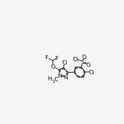 Cn1nc(-c2ccc(Cl)c(S(=O)(=O)Cl)c2)c(Cl)c1OC(F)F